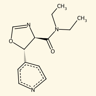 CCN(CC)C(=O)[C@@H]1N=CO[C@H]1c1ccncc1